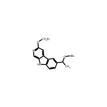 CCCCOC(C)c1ccc2[nH]c3cnc(OC(=O)OCC)cc3c2c1